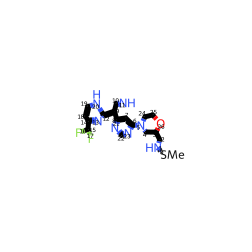 CSNCC1CN(c2cc(/C(C=N)=C3\N=C(C(F)F)C=CN3)ncn2)CCO1